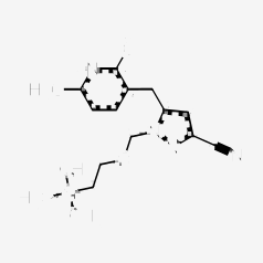 Cc1ccc(Cc2cc(C#N)nn2COCC[Si](C)(C)C)c(Cl)n1